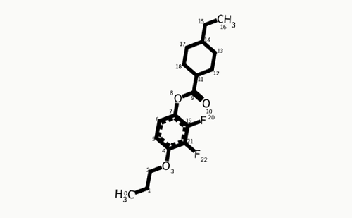 CCCOc1ccc(OC(=O)C2CCC(CC)CC2)c(F)c1F